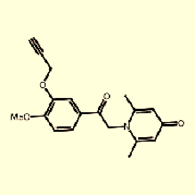 C#CCOc1cc(C(=O)Cn2c(C)cc(=O)cc2C)ccc1OC